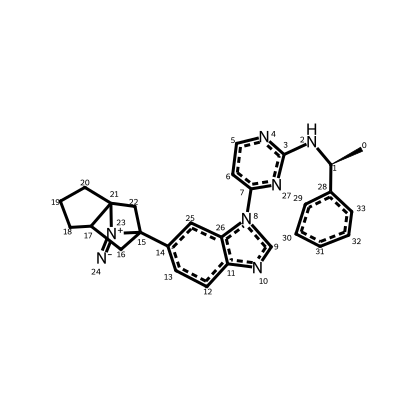 C[C@H](Nc1nccc(-n2cnc3ccc(C45CC6CCCC6(C4)[N+]5=[N-])cc32)n1)c1ccccc1